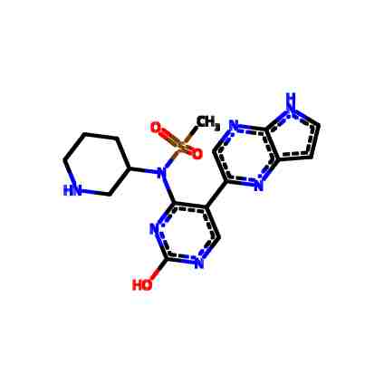 CS(=O)(=O)N(c1nc(O)ncc1-c1cnc2[nH]ccc2n1)C1CCCNC1